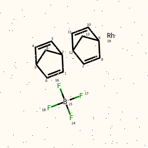 C1=CC2C=CC1C2.C1=CC2C=CC1C2.F[B-](F)(F)F.[Rh]